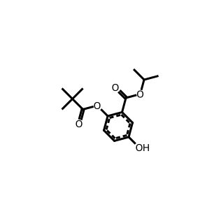 CC(C)OC(=O)c1cc(O)ccc1OC(=O)C(C)(C)C